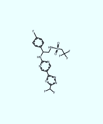 O=S(=O)(CC(F)(F)F)NCC(Nc1ncc(-c2nnc(C(F)F)o2)cn1)c1ccc(F)cc1